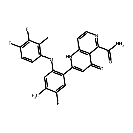 Cc1c(Oc2cc(C(F)(F)F)c(F)cc2-c2cc(=O)c3c(C(N)=O)nccc3[nH]2)ccc(F)c1F